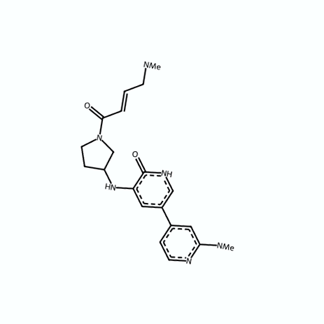 CNC/C=C/C(=O)N1CCC(Nc2cc(-c3ccnc(NC)c3)c[nH]c2=O)C1